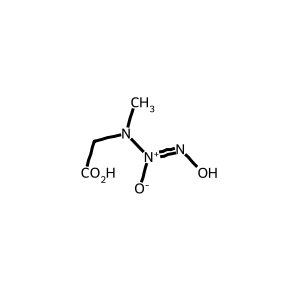 CN(CC(=O)O)[N+]([O-])=NO